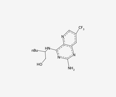 CCCCC(CO)Nc1nc(N)nc2cc(C(F)(F)F)cnc12